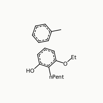 CCCCCc1c(O)cccc1OCC.Cc1ccccc1